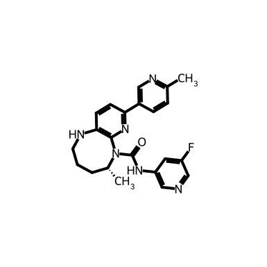 Cc1ccc(-c2ccc3c(n2)N(C(=O)Nc2cncc(F)c2)[C@H](C)CCCN3)cn1